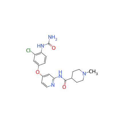 CN1CCC(C(=O)Nc2cc(Oc3ccc(NC(N)=O)c(Cl)c3)ccn2)CC1